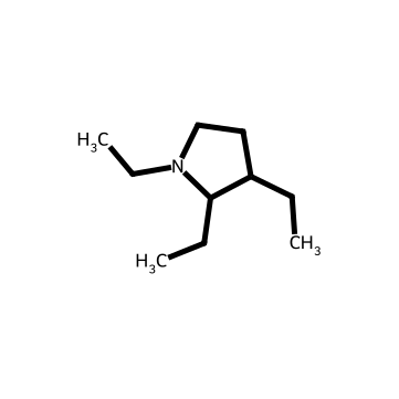 CCC1CCN(CC)C1CC